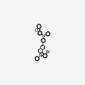 Brc1cccc2c1c1c(n2-c2ccccc2)C=CC2C=C(c3ccc(N(c4ccccc4)c4ccc5oc6ccccc6c5c4)cc3)C=CC12